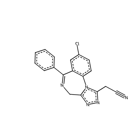 N#CCc1nnc2n1-c1ccc(Cl)cc1C(c1ccccc1)=NC2